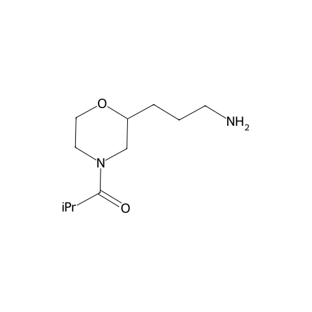 CC(C)C(=O)N1CCOC(CCCN)C1